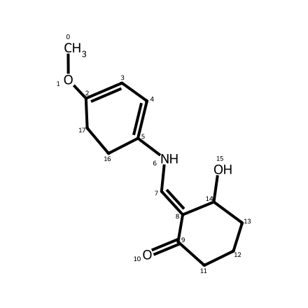 COC1=CC=C(N/C=C2/C(=O)CCCC2O)CC1